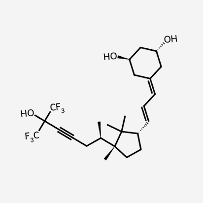 C[C@H](CC#CC(O)(C(F)(F)F)C(F)(F)F)[C@@]1(C)CC[C@@H](/C=C/C=C2C[C@@H](O)C[C@H](O)C2)C1(C)C